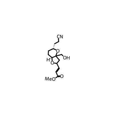 COC(=O)/C=C/C1CC2(CO)O[C@@H](CCC#N)CC[C@@H]2O1